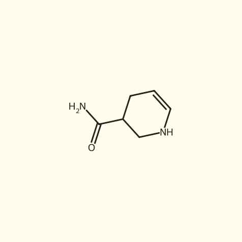 NC(=O)C1CC=CNC1